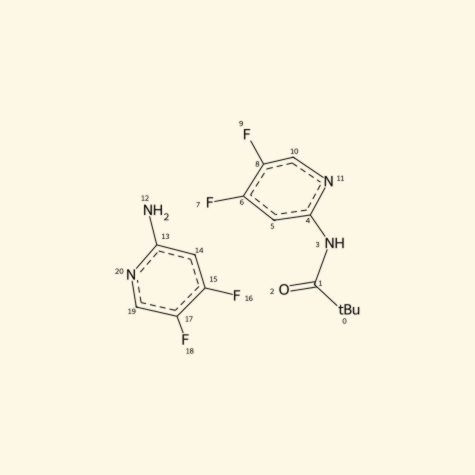 CC(C)(C)C(=O)Nc1cc(F)c(F)cn1.Nc1cc(F)c(F)cn1